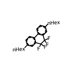 CCCCCCc1ccc2c(c1)C(F)(F)C(F)(F)c1cc(CCCCCC)ccc1-2